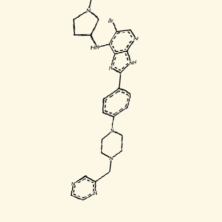 CN1CCC(Nc2c(Br)cnc3[nH]c(-c4ccc(N5CCN(Cc6cnccn6)CC5)cc4)nc23)C1